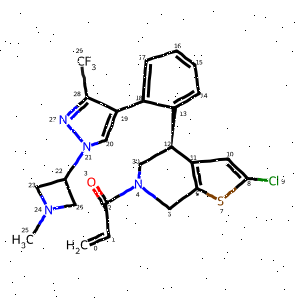 C=CC(=O)N1Cc2sc(Cl)cc2[C@H](c2ccccc2-c2cn(C3CN(C)C3)nc2C(F)(F)F)C1